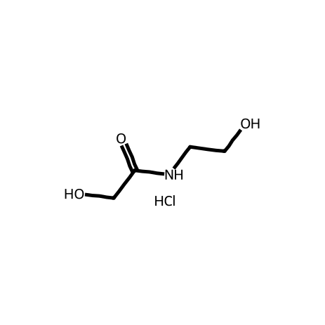 Cl.O=C(CO)NCCO